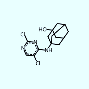 OC12CC3CC(C1)CC(Nc1nc(Cl)ncc1Cl)(C3)C2